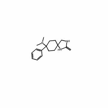 C=C1NCC2(CCC(c3ccccc3)(N(C)C)CC2)N1